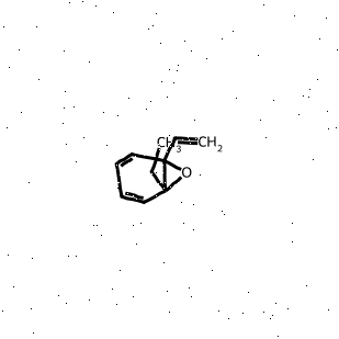 C=CC12C=CC=CC1(CC)O2